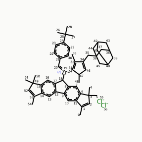 CC1=CC(C)(C)c2cc3c(cc21)-c1cc2c(cc1[CH]3/[Zr+2](=[CH]/c1ccc(C(C)(C)C)cc1)[C]1=C(C)C(CC34CC5CC(CC(C5)C3)C4)=CC1C)C(C)(C)C=C2C.[Cl-].[Cl-]